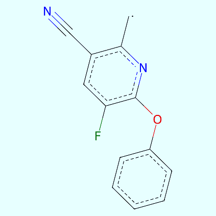 [CH2]c1nc(Oc2ccccc2)c(F)cc1C#N